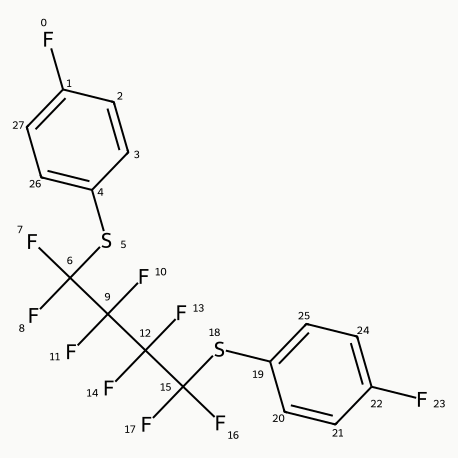 Fc1ccc(SC(F)(F)C(F)(F)C(F)(F)C(F)(F)Sc2ccc(F)cc2)cc1